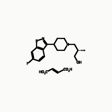 C[C@H](CO)CN1CCC(c2nsc3cc(F)ccc23)CC1.O=C(O)C=CC(=O)O